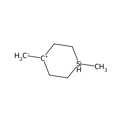 [CH2-][C+]1CC[SiH](C)CC1